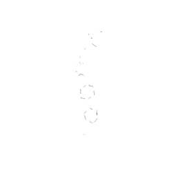 C[C@@H](O)[C@@H](O)Cc1ccc(-c2ccc(C3=NOC(CC(C)(C(=O)NO)S(C)(=O)=O)C3)cc2)cc1